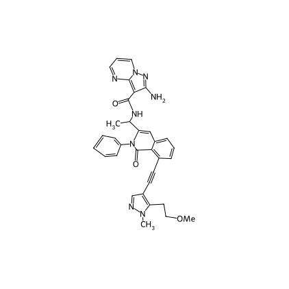 COCCc1c(C#Cc2cccc3cc(C(C)NC(=O)c4c(N)nn5cccnc45)n(-c4ccccc4)c(=O)c23)cnn1C